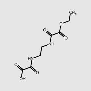 CCOC(=O)C(=O)NCCNC(=O)C(=O)O